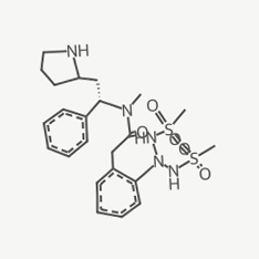 CN(C(=O)Cc1ccccc1N(NS(C)(=O)=O)NS(C)(=O)=O)[C@@H](CC1CCCN1)c1ccccc1